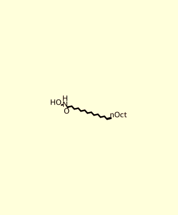 CCCCCCCC/C=C\CCCCCCCCCCCC(=O)NCO